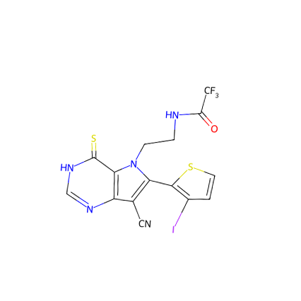 N#Cc1c(-c2sccc2I)n(CCNC(=O)C(F)(F)F)c2c(=S)[nH]cnc12